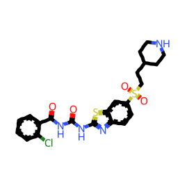 O=C(NC(=O)c1ccccc1Cl)Nc1nc2ccc(S(=O)(=O)CCC3CCNCC3)cc2s1